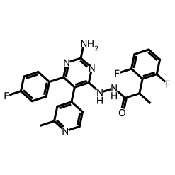 Cc1cc(-c2c(NNC(=O)C(C)c3c(F)cccc3F)nc(N)nc2-c2ccc(F)cc2)ccn1